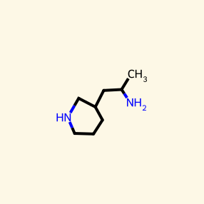 CC(N)CC1CCCNC1